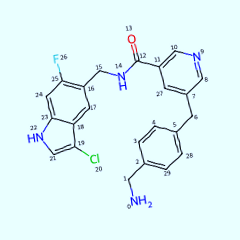 NCc1ccc(Cc2cncc(C(=O)NCc3cc4c(Cl)c[nH]c4cc3F)c2)cc1